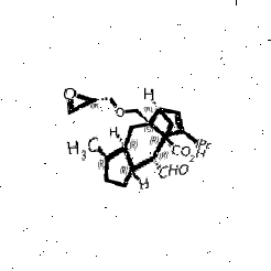 CC(C)C1=C[C@H]2C[C@@]3(C=O)[C@@H]4CC[C@@H](C)[C@H]4C[C@@]2(COC[C@@H]2CO2)[C@]13C(=O)O